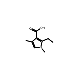 CCc1c(C(=O)O)c(C)cn1C